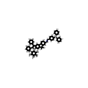 CC1(C)c2cc(/C=C/c3ccc(N(c4ccccc4)c4ccccc4)cc3)ccc2-c2cc3c(-c4ccccc4)c(-c4ccccc4)n(-c4c(F)c(F)c(F)c(F)c4F)c3cc21